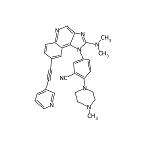 CN1CCN(c2ccc(-n3c(N(C)C)nc4cnc5ccc(C#Cc6cccnc6)cc5c43)cc2C#N)CC1